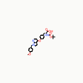 COc1ccc(Cn2ccc3c(Oc4ccc(C[C@H](NC(=O)OC(C)(C)C)C(=O)O)cc4)ccnc32)cc1